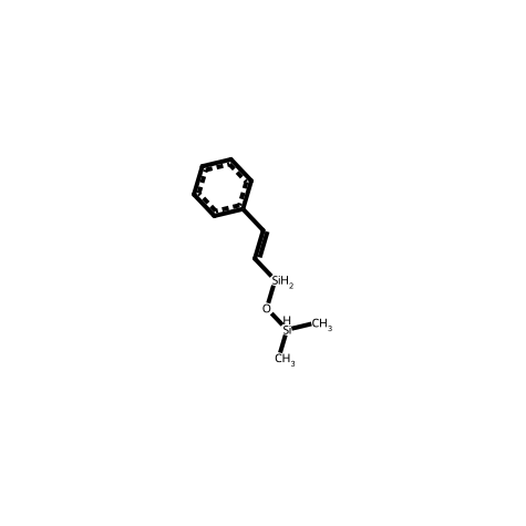 C[SiH](C)O[SiH2]C=Cc1ccccc1